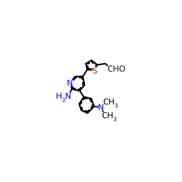 CN(C)c1cccc(-c2cc(-c3ccc(CC=O)s3)cnc2N)c1